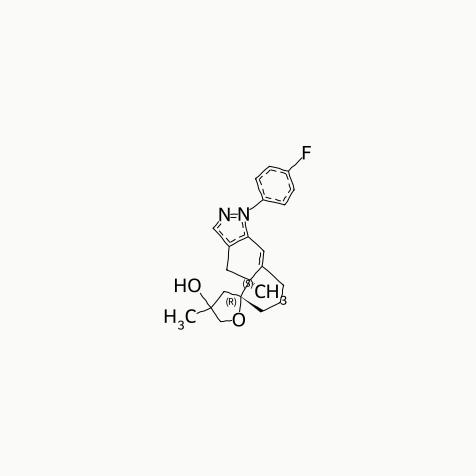 CC1(O)CO[C@]2(CCCC3=Cc4c(cnn4-c4ccc(F)cc4)C[C@@]32C)C1